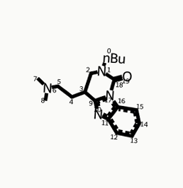 CCCCN1CC(CCN(C)C)c2nc3ccccc3n2C1=O